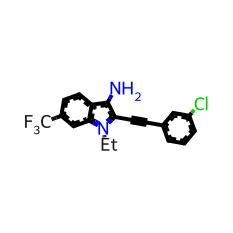 CCn1c(C#Cc2cccc(Cl)c2)c(N)c2ccc(C(F)(F)F)cc21